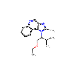 CCOCC(C(C)C)n1c(C)nc2cnc3ccccc3c21